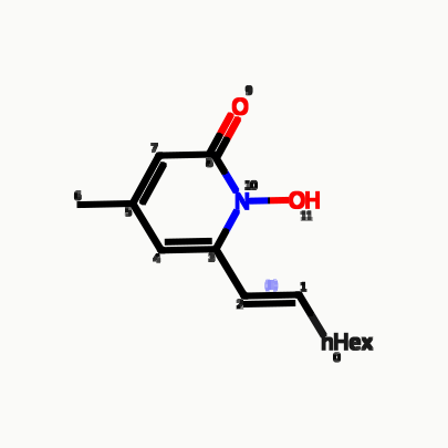 CCCCCC/C=C/c1cc(C)cc(=O)n1O